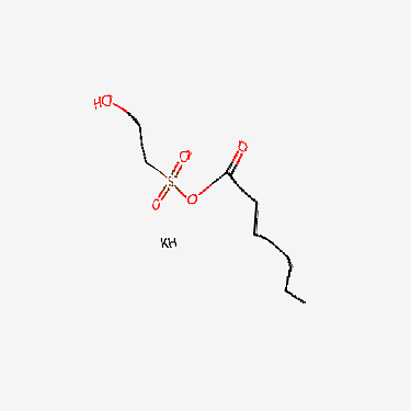 CCCCCC(=O)OS(=O)(=O)CCO.[KH]